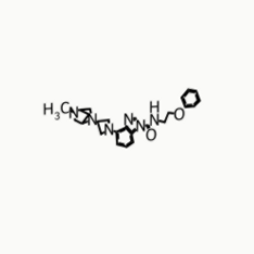 CN1CC2CC1CN2C1CN(c2cccc3c2ncn3C(=O)NCCOc2ccccc2)C1